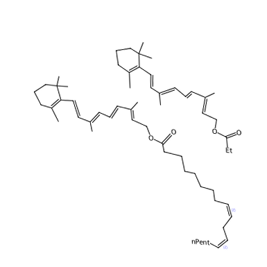 CCC(=O)OCC=C(C)C=CC=C(C)C=CC1=C(C)CCCC1(C)C.CCCCC/C=C\C/C=C\CCCCCCCC(=O)OCC=C(C)C=CC=C(C)C=CC1=C(C)CCCC1(C)C